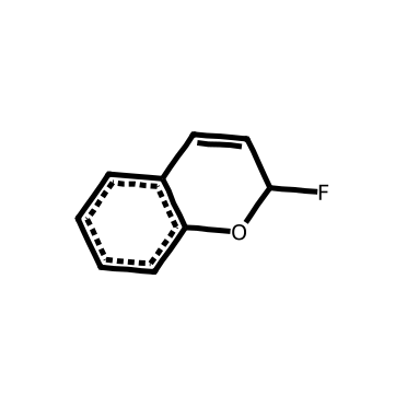 FC1C=Cc2ccccc2O1